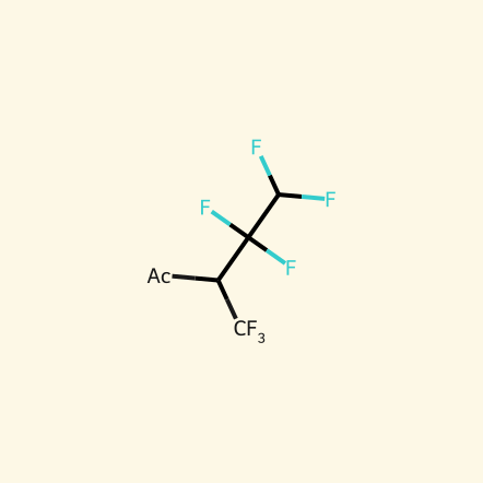 CC(=O)C(C(F)(F)F)C(F)(F)C(F)F